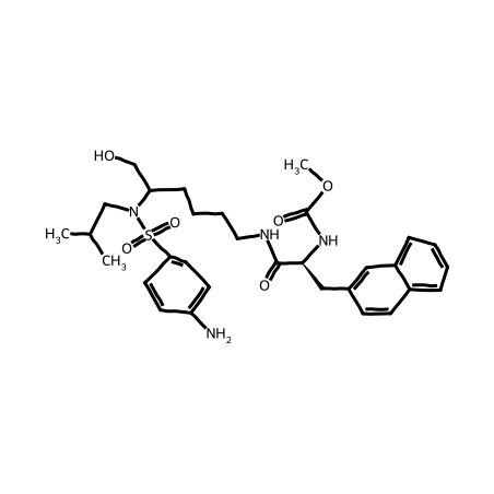 COC(=O)N[C@@H](Cc1ccc2ccccc2c1)C(=O)NCCCCC(CO)N(CC(C)C)S(=O)(=O)c1ccc(N)cc1